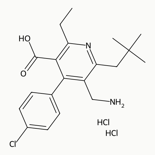 CCc1nc(CC(C)(C)C)c(CN)c(-c2ccc(Cl)cc2)c1C(=O)O.Cl.Cl